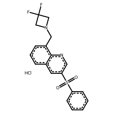 Cl.O=S(=O)(c1ccccc1)c1cnc2c(CN3CC(F)(F)C3)cccc2c1